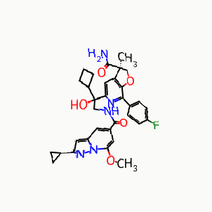 COc1cc(C(=O)NCC(O)(c2cc3c(c(-c4ccc(F)cc4)n2)OC[C@]3(C)C(N)=O)C2CCC2)cc2cc(C3CC3)nn12